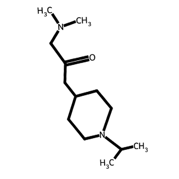 CC(C)N1CCC(CC(=O)CN(C)C)CC1